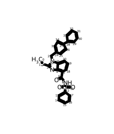 CSc1nc2c(C(=O)NS(=O)(=O)c3ccccc3)cccc2n1Cc1ccc(-c2ccccc2)cc1